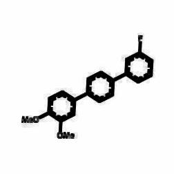 COc1ccc(-c2ccc(-c3cccc(F)c3)cc2)cc1OC